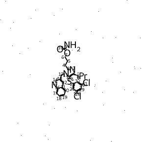 CC(C)c1nc(CCCOC(N)=O)n(Cc2cnc3ccccc3c2)c1Sc1cc(Cl)cc(Cl)c1